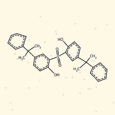 CC(C)(c1ccccc1)c1ccc(O)c(S(=O)(=O)c2cc(C(C)(C)c3ccccc3)ccc2O)c1